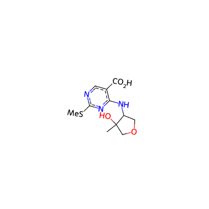 CSc1ncc(C(=O)O)c(NC2COCC2(C)O)n1